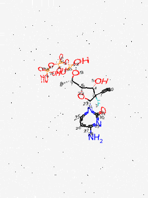 C#CC1(F)[C@@H](O)[C@@H]([C@H](C)OP(=O)(O)OP(=O)(O)OP(=O)(O)O)O[C@H]1n1ccc(N)nc1=O